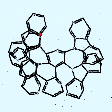 c1ccc(-c2cccc(-c3ccccc3-c3c(-n4c5ccccc5c5ccncc54)c(-n4c5ccccc5c5ccncc54)nc(-n4c5ccccc5c5ccncc54)c3-n3c4ccccc4c4ccncc43)n2)cc1